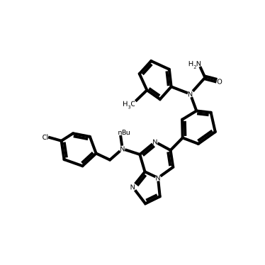 CCCCN(Cc1ccc(Cl)cc1)c1nc(-c2cccc(N(C(N)=O)c3cccc(C)c3)c2)cn2ccnc12